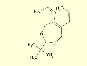 C/C=C\C1=C(/C=C\C)COC(C(C)(C)C)OC1